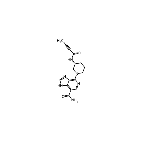 CC#CC(=O)N[C@H]1CCCN(c2ncc(C(N)=O)c3[nH]cnc23)C1